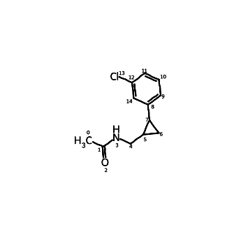 CC(=O)NCC1CC1c1cccc(Cl)c1